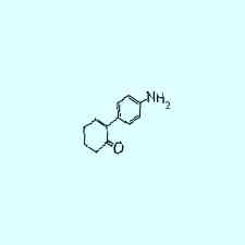 Nc1ccc(C2CCCCC2=O)cc1